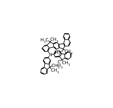 CC1(C)c2ccccc2-c2ccc(N(c3ccc4c(c3)C(C)(C)c3ccccc3-4)c3cccc4c3-c3cc5c(cc3C4(C)C)-c3c(ccc4ccccc34)C5(C)C)cc21